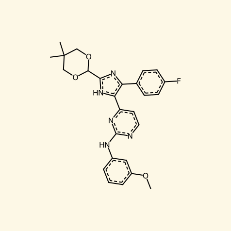 COc1cccc(Nc2nccc(-c3[nH]c(C4OCC(C)(C)CO4)nc3-c3ccc(F)cc3)n2)c1